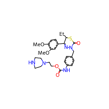 CCC1SC(=O)N(Cc2ccc(NC(=O)OCCN3CCNCC3)cc2)N=C1c1ccc(OC)c(OC)c1